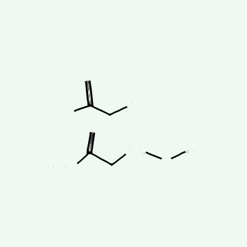 CC(=O)CC(=O)C(=O)O.CC(=O)CC(=O)C(=O)O.CC(C)[O][Al]